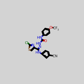 N#Cc1ccc(NC(=NNC(=O)Nc2ccc(OC(F)(F)F)cc2)c2csc(Cl)n2)cc1